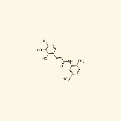 Cc1ccc(C(=O)O)cc1NC(=O)C=Cc1ccc(O)c(O)c1O